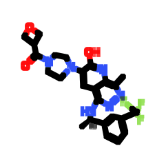 Cc1nnc(N[C@H](C)c2cccc(C(F)(F)F)c2)c2cc(N3CCN(C(=O)C4COC4)CC3)c(O)nc12